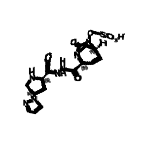 O=C(NNC(=O)[C@@H]1CC[C@H]2CN1C(=O)N2OS(=O)(=O)O)[C@@H]1C[C@@H](n2cccn2)CN1